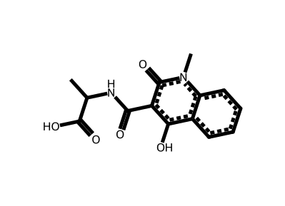 CC(NC(=O)c1c(O)c2ccccc2n(C)c1=O)C(=O)O